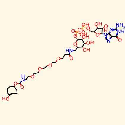 Nc1nc2c(ncn2[C@@H]2O[C@H](COP(=O)(O)OP(=O)(O)O[C@H]3OC(CNC(=O)CCOCCOCCOCCOCCNC(=O)OC4CC/C=C(\O)CCC4)[C@@H](O)C(O)C3O)C(O)C2O)c(=O)[nH]1